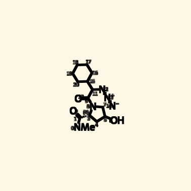 CNC(=O)[C@H]1CC(O)CN1C(=O)C(N=[N+]=[N-])C1CCCCC1